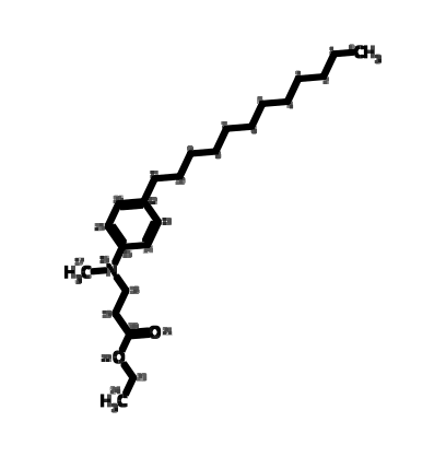 CCCCCCCCCCCCc1ccc(N(C)CCC(=O)OCC)cc1